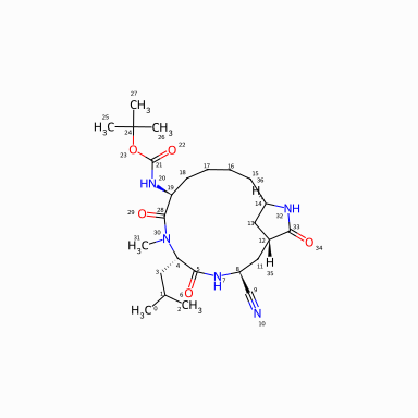 CC(C)C[C@H]1C(=O)N[C@H](C#N)C[C@@H]2C[C@@H](CCCC[C@H](NC(=O)OC(C)(C)C)C(=O)N1C)NC2=O